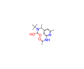 CC(=O)Nc1cc(C(C)N(C(=O)O)C(C)(C)C)cc(C)n1